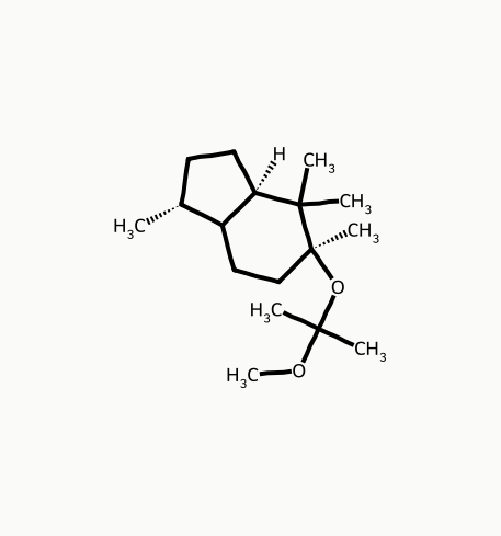 COC(C)(C)O[C@@]1(C)CCC2[C@H](C)CC[C@H]2C1(C)C